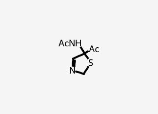 CC(=O)NC1(C(C)=O)C=NCS1